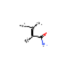 CO/C(C)=C(\C)C(N)=O